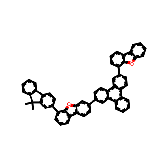 CC1(C)c2ccccc2-c2ccc(-c3cccc4c3oc3cc(-c5ccc6c(c5)c5ccccc5c5ccc(-c7cccc8c7oc7ccccc78)cc56)ccc34)cc21